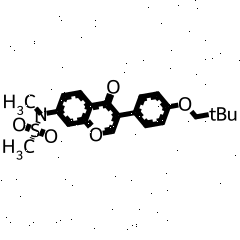 CN(c1ccc2c(=O)c(-c3ccc(OCC(C)(C)C)cc3)coc2c1)S(C)(=O)=O